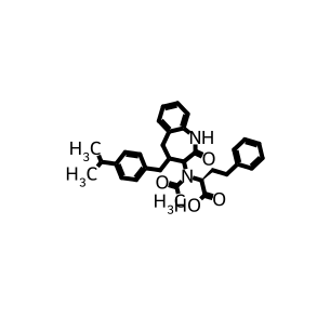 CC(=O)N(C1C(=O)Nc2ccccc2CC1Cc1ccc(C(C)C)cc1)[C@@H](CCc1ccccc1)C(=O)O